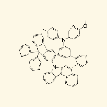 COc1ccc(N(c2ccc(C)cc2)c2cccc(-c3ccccc3-c3cc4c(c5ccccc35)c3ccccc3n4-c3ccc4c(c3)C(c3ccccc3)(c3ccccc3)c3ccccc3-4)c2)cc1